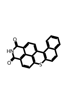 O=c1[nH]c(=O)c2ccc3c4c(ccc5ccccc54)sc4ccc1c2c43